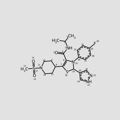 CC(C)NC(=O)C1=C(C2CCN(S(C)(=O)=O)CC2)SC(c2cn[nH]c2)N1c1ccc(F)cc1